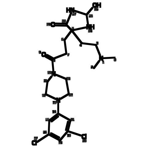 CN(C)CCC1(CCC(=O)N2CCN(c3cc(Cl)cc(Cl)c3)CC2)NC(O)NC1=O